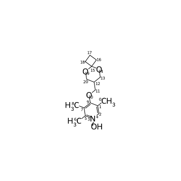 Cc1c[n+](O)c(C)c(C)c1OCC1COC2(CCC2)OC1